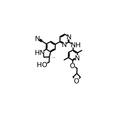 Cc1cc(Nc2nccc(-c3cc(C#N)c4c(c3)[C@@](C)(CO)CN4)n2)c(C)nc1OCC1COC1